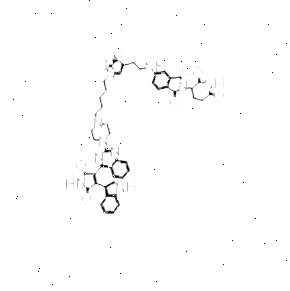 O=C1CCC(N2C(=O)c3ccc(NCCc4cn(CCCCCN5CCN(c6nc(C7=C(c8c[nH]c9ccccc89)C(=O)NC7=O)c7ccccc7n6)CC5)nn4)cc3C2=O)C(=O)N1